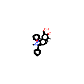 C[C@@H]1C(=O)/C(=C\O)C[C@]2(c3ccccc3)c3nn(C)c(-c4ccccc4)c3CC[C@@H]12